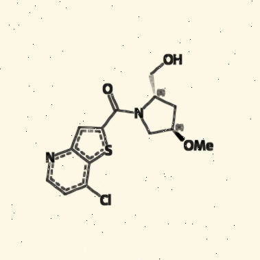 CO[C@@H]1C[C@@H](CO)N(C(=O)c2cc3nccc(Cl)c3s2)C1